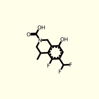 CC1CN(C(=O)O)Cc2c(O)cc(C(F)F)c(F)c21